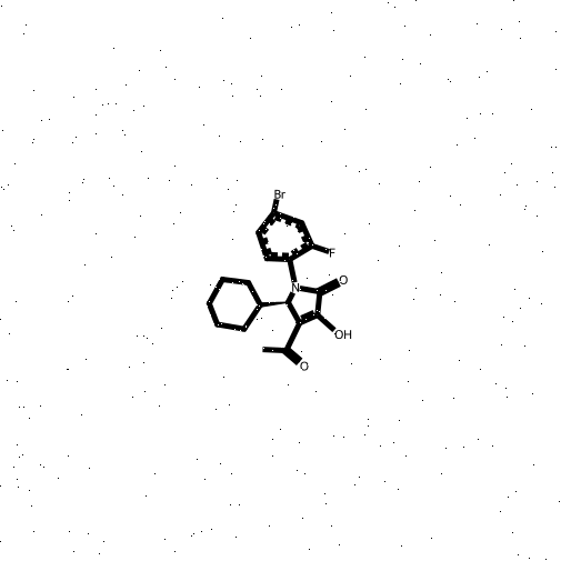 CC(=O)C1=C(O)C(=O)N(c2ccc(Br)cc2F)[C@@H]1C1CCCCC1